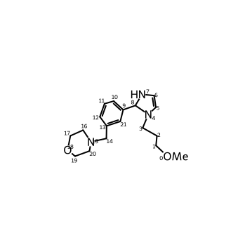 COCCCN1C=CNC1c1cccc(CN2CCOCC2)c1